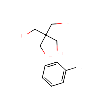 O=S(=O)(O)c1ccccc1.OCC(CO)(CO)CO